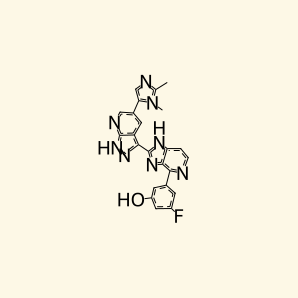 Cc1ncc(-c2cnc3[nH]nc(-c4nc5c(-c6cc(O)cc(F)c6)nccc5[nH]4)c3c2)n1C